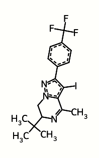 CC1=NC(C(C)(C)C)Cn2nc(-c3ccc(C(F)(F)F)cc3)c(I)c21